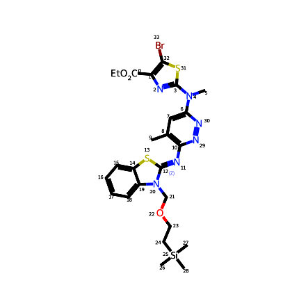 CCOC(=O)c1nc(N(C)c2cc(C)c(/N=c3\sc4ccccc4n3COCC[Si](C)(C)C)nn2)sc1Br